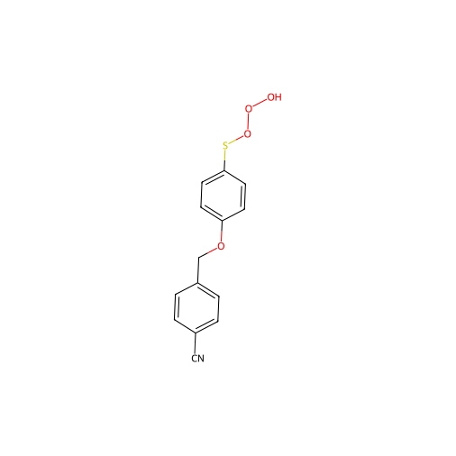 N#Cc1ccc(COc2ccc(SOOO)cc2)cc1